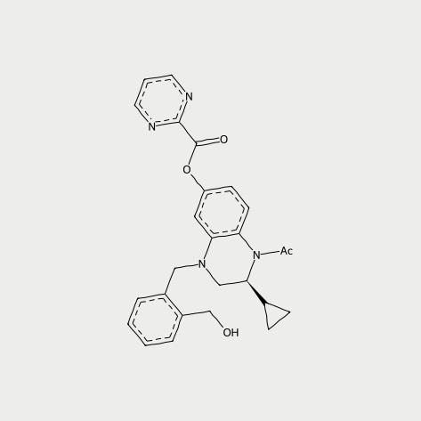 CC(=O)N1c2ccc(OC(=O)c3ncccn3)cc2N(Cc2ccccc2CO)C[C@@H]1C1CC1